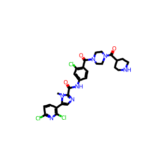 Cn1c(-c2ccc(Cl)nc2Cl)cnc1C(=O)Nc1ccc(C(=O)N2CCN(C(=O)C3CCNCC3)CC2)c(Cl)c1